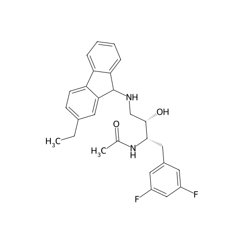 CCc1ccc2c(c1)C(NC[C@H](O)[C@H](Cc1cc(F)cc(F)c1)NC(C)=O)c1ccccc1-2